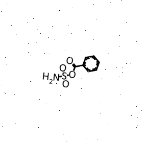 NS(=O)(=O)OC(=O)c1ccccc1